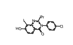 CC(C)c1nc2c(I)c(O)ccc2c(=O)n1-c1ccc(Cl)cc1